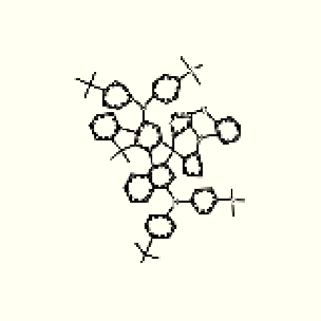 CC(C)(C)c1ccc(N(c2ccc([Si](C)(C)C)cc2)c2cc3c(c4c2-c2ccccc2C4(C)C)-c2c(cc(N(c4ccc(C(C)(C)C)cc4)c4ccc([Si](C)(C)C)cc4)c4ccccc24)C32c3ccccc3N3c4ccccc4Oc4cccc2c43)cc1